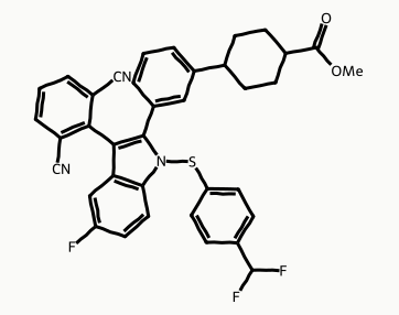 COC(=O)C1CCC(c2cccc(-c3c(-c4c(C#N)cccc4C#N)c4cc(F)ccc4n3Sc3ccc(C(F)F)cc3)c2)CC1